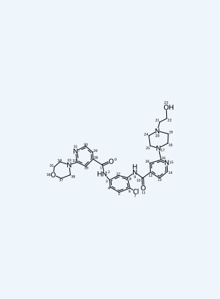 O=C(Nc1ccc(Cl)c(NC(=O)c2ccnc(N3CCN(CCO)CC3)c2)c1)c1ccnc(N2CCOCC2)c1